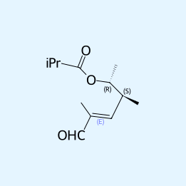 C/C(C=O)=C\[C@H](C)[C@@H](C)OC(=O)C(C)C